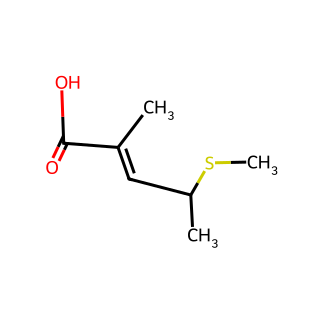 CSC(C)/C=C(\C)C(=O)O